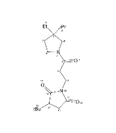 CCC1(C(C)C)CCN(C(=O)CCN2C(=O)CC(C(C)(C)C)C2=O)C1